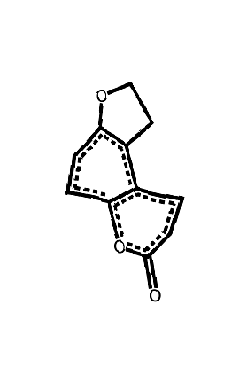 O=c1ccc2c3c(ccc2o1)OCC3